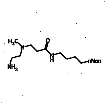 CCCCCCCCCCCCCNC(=O)CCN(C)CCN